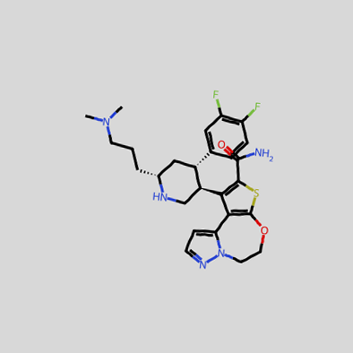 CN(C)CCC[C@@H]1C[C@H](c2ccc(F)c(F)c2)[C@@H](c2c(C(N)=O)sc3c2-c2ccnn2CCO3)CN1